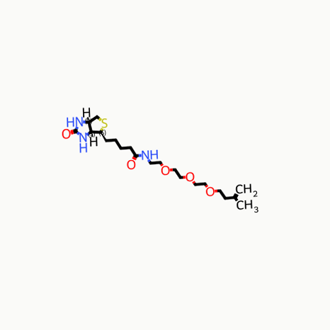 C=C(C)CCOCCOCCOCCNC(=O)CCCC[C@@H]1SC[C@@H]2NC(=O)N[C@@H]21